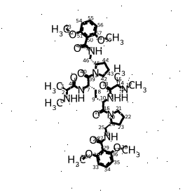 CN[C@@H](C)C(=O)N[C@@H](CC[C@H](NC(=O)[C@H](C)NC)C(=O)N1CCC[C@H]1CNC(=O)c1c(OC)cccc1OC)C(=O)N1CCC[C@H]1CNC(=O)c1c(OC)cccc1OC